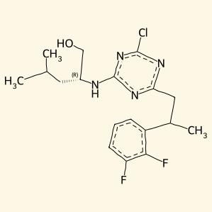 CC(C)C[C@H](CO)Nc1nc(Cl)nc(CC(C)c2cccc(F)c2F)n1